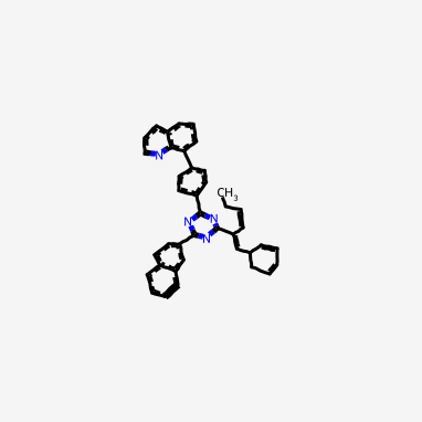 CC/C=C\C(=C/C1C=CC=CC1)c1nc(-c2ccc(-c3cccc4cccnc34)cc2)nc(-c2ccc3ccc#cc3c2)n1